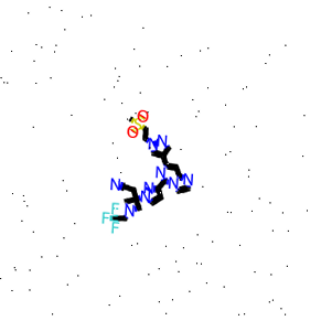 CS(=O)(=O)CCn1cc(-c2cc3nccn3c(-c3ccn(C4(CC#N)CN(CC(F)(F)F)C4)n3)n2)cn1